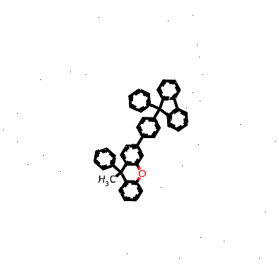 CC1(c2ccccc2)c2ccccc2Oc2cc(-c3ccc(C4(c5ccccc5)c5ccccc5-c5ccccc54)cc3)ccc21